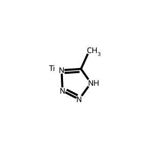 Cc1nnn[nH]1.[Ti]